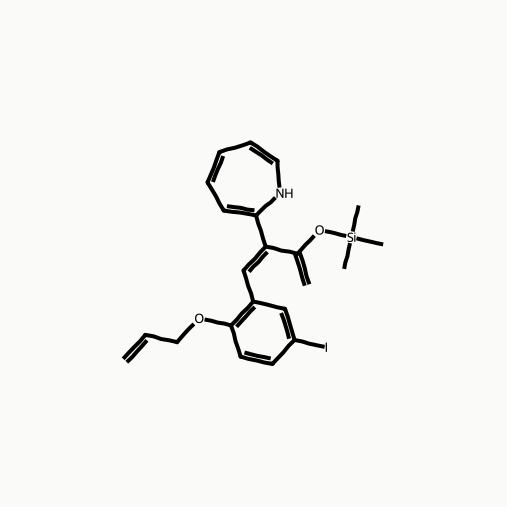 C=CCOc1ccc(I)cc1C=C(C(=C)O[Si](C)(C)C)C1=CC=CC=CN1